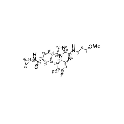 COCCCNc1nc2cc(F)c(F)cc2n2c(-c3ccc(C(=O)NC4CC4)cc3)cnc12